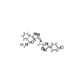 NC(=O)c1ccccc1-c1nnc(SCc2nc(-c3ccc(Cl)cc3)no2)s1